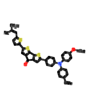 CCCCCCCCOc1ccc(N(c2ccc(OC)cc2)c2ccc(-c3cc4c(s3)-c3sc(-c5ccc(/C=C(\C#N)C(=O)O)s5)cc3C4=O)cc2)cc1